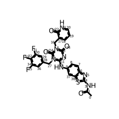 CC(=O)Nc1nc2ccc(Nc3nc(=O)n(Cc4ccc[nH]c4=O)c(=O)n3Cc3cc(F)c(F)c(F)c3)cc2s1